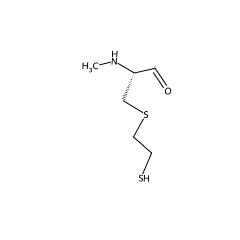 CN[C@H]([C]=O)CSCCS